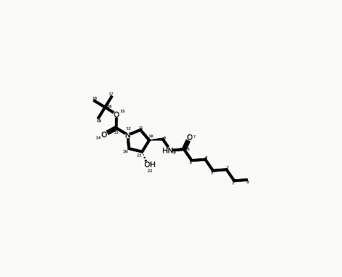 CCCCCCC(=O)NC[C@@H]1CN(C(=O)OC(C)(C)C)C[C@H]1O